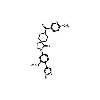 COc1cc(N2CCC3(CCN(C(=O)c4ccc(C)nc4)CC3)C2=O)ccc1-c1cn[nH]c1